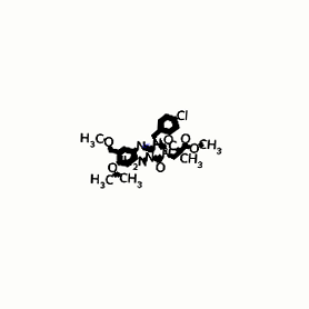 COCc1cc(/N=c2\n(N)c(=O)n(CC(C)(C)C(=O)OC)c(=O)n2Cc2ccc(Cl)cc2)ccc1OC(C)C